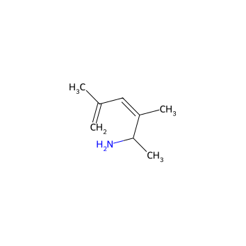 C=C(C)/C=C(/C)C(C)N